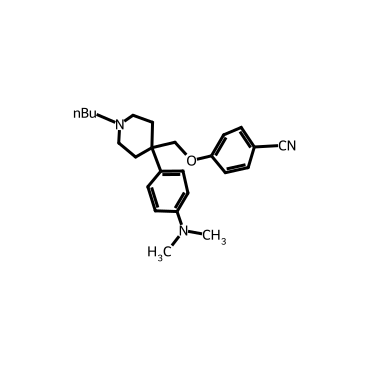 CCCCN1CCC(COc2ccc(C#N)cc2)(c2ccc(N(C)C)cc2)CC1